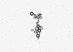 CC(C)(C)OC(=O)[C@H](CCCOc1cc(F)c(-n2c(N)c(C(=O)c3ccc(F)cc3F)ccc2=O)c(F)c1)NC(=O)OCc1ccccc1